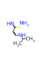 CC(C)N/C=C\C(=N)SN